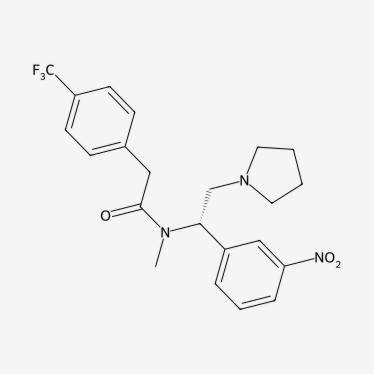 CN(C(=O)Cc1ccc(C(F)(F)F)cc1)[C@H](CN1CCCC1)c1cccc([N+](=O)[O-])c1